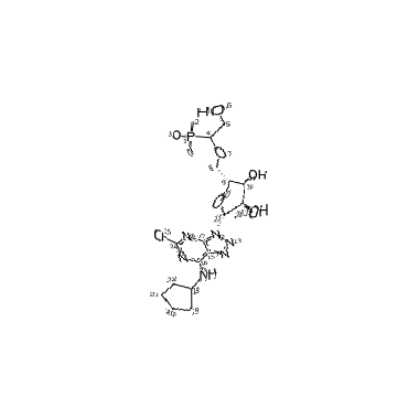 CP(C)(=O)C(CO)OC[C@H]1O[C@@H](n2nnc3c(NC4CCCC4)nc(Cl)nc32)[C@H](O)[C@@H]1O